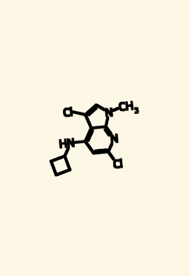 Cn1cc(Cl)c2c(NC3CCC3)cc(Cl)nc21